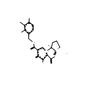 C[C@@H]1CN2C(=O)c3c(O)c(=O)c(C(=O)NCc4ccc(F)c(Cl)c4F)cn3[C@@H]3CCC[C@@]32O1